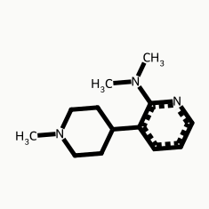 CN1CCC(c2cccnc2N(C)C)CC1